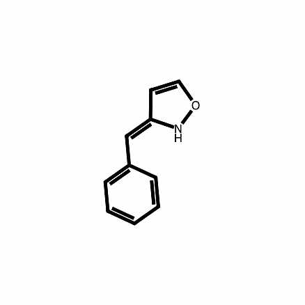 C1=CC(=Cc2ccccc2)NO1